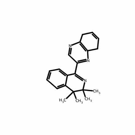 CC1(C)N=C(c2cnc3c(n2)CC=CC3)c2ccccc2C1(C)C